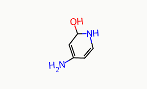 NC1=CC(O)NC=C1